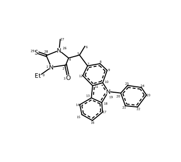 CCN1C(=O)C(C(C)c2ccc3c(c2)c2ccccc2n3-c2ccccc2)N(C)C1=S